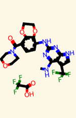 CNc1nc(Nc2ccc(C(=O)N3CCOCC3)c3c2OCCO3)nc2[nH]cc(C(F)(F)F)c12.O=C(O)C(F)(F)F